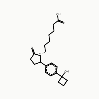 O=C(O)CCCCCC[C@H]1C(=O)CCC1c1ccc(C2(O)CCC2)cc1